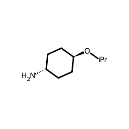 CC(C)O[C@H]1CC[C@H](N)CC1